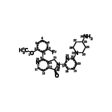 COc1cccc(F)c1-c1nccc2c1CN(c1cccc(N3CCC(N)CC3)n1)C2=O